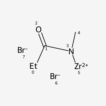 CCC(=O)[N](C)[Zr+2].[Br-].[Br-]